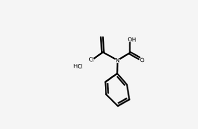 C=C(Cl)N(C(=O)O)c1ccccc1.Cl